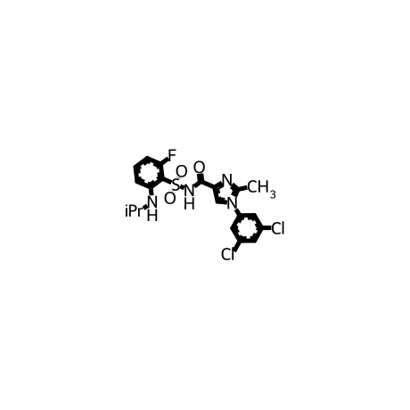 Cc1nc(C(=O)NS(=O)(=O)c2c(F)cccc2NC(C)C)cn1-c1cc(Cl)cc(Cl)c1